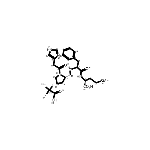 CSCC[C@H](NC(=O)C(Cc1ccccc1)OC[C@@H]1CCCN1C(=O)Cc1c[nH]cn1)C(=O)O.O=C(O)C(F)(F)F